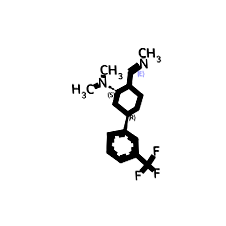 C/N=C/C1CC[C@@H](c2cccc(C(F)(F)F)c2)C[C@@H]1N(C)C